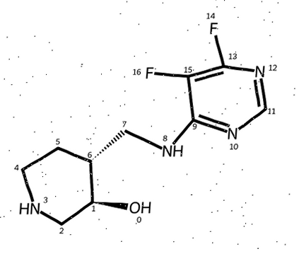 O[C@H]1CNCC[C@@H]1CNc1ncnc(F)c1F